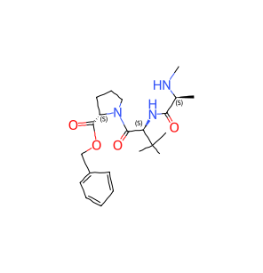 CN[C@@H](C)C(=O)N[C@H](C(=O)N1CCC[C@H]1C(=O)OCc1ccccc1)C(C)(C)C